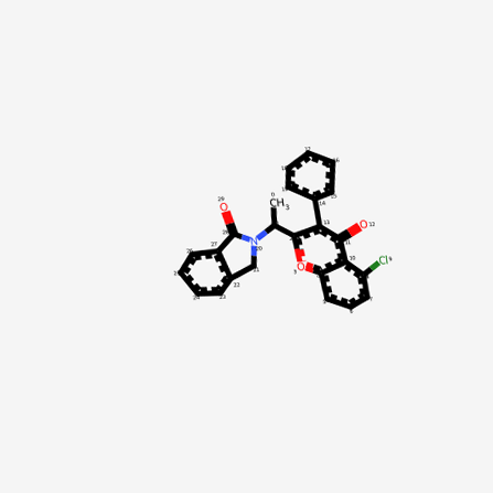 CC(c1oc2cccc(Cl)c2c(=O)c1-c1ccccc1)N1Cc2ccccc2C1=O